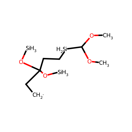 [CH2]CC(CC[SiH2]C(OC)OC)(O[SiH3])O[SiH3]